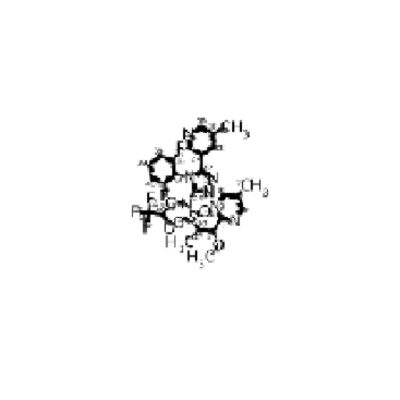 CO[C@H](c1ncc(C)cn1)[C@H](C)S(=O)(=O)N(OC(=O)C(F)(F)F)c1nnc(-c2cncc(C)c2)n1-c1c(F)cccc1F